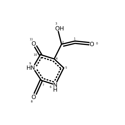 O=C=C(O)c1c[nH]c(=O)[nH]c1=O